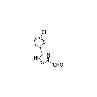 CCc1ccc(-c2nc(C=O)c[nH]2)s1